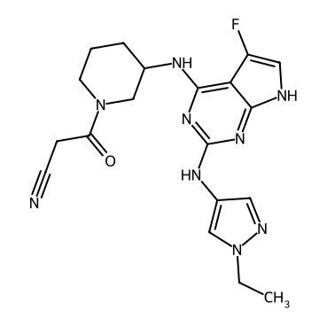 CCn1cc(Nc2nc(NC3CCCN(C(=O)CC#N)C3)c3c(F)c[nH]c3n2)cn1